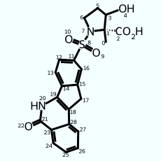 C[C@]1(C(=O)O)C(O)CCN1S(=O)(=O)c1ccc2c(c1)Cc1c-2[nH]c(=O)c2ccccc12